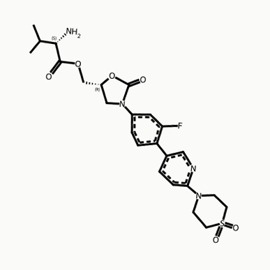 CC(C)[C@H](N)C(=O)OC[C@H]1CN(c2ccc(-c3ccc(N4CCS(=O)(=O)CC4)nc3)c(F)c2)C(=O)O1